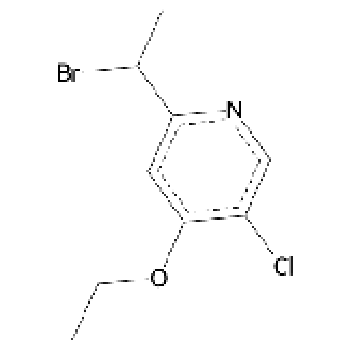 CCOc1cc(C(C)Br)ncc1Cl